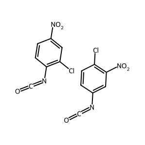 O=C=Nc1ccc(Cl)c([N+](=O)[O-])c1.O=C=Nc1ccc([N+](=O)[O-])cc1Cl